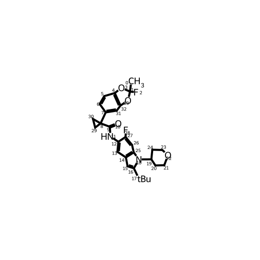 CC1(F)Oc2ccc(C3(C(=O)Nc4cc5cc(C(C)(C)C)n(C6CCOCC6)c5cc4F)CC3)cc2O1